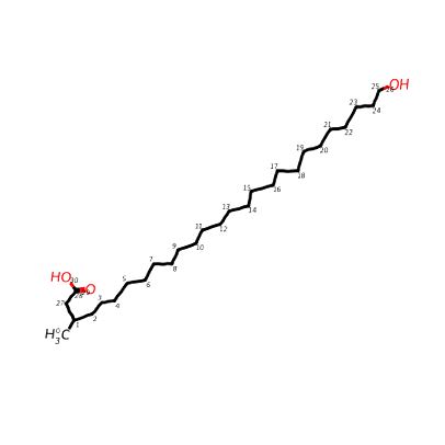 CC(CCCCCCCCCCCCCCCCCCCCCCCCO)CC(=O)O